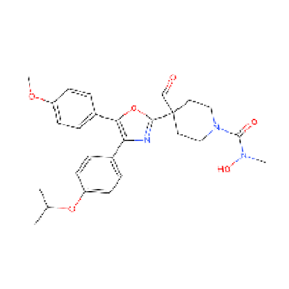 COc1ccc(-c2oc(C3(C=O)CCN(C(=O)N(C)O)CC3)nc2-c2ccc(OC(C)C)cc2)cc1